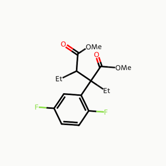 CCC(C(=O)OC)C(CC)(C(=O)OC)c1cc(F)ccc1F